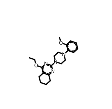 CCOc1nc(N2CCN(c3ccccc3OC)CC2)nc2c1CCCC2